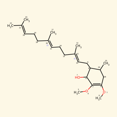 COC1=C(OC)C(O)C(C/C=C(\C)CC/C=C(\C)CCC=C(C)C)C(C)C1